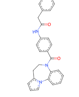 O=C(Cc1ccccc1)Nc1ccc(C(=O)N2CCc3cccn3-c3ccccc32)cc1